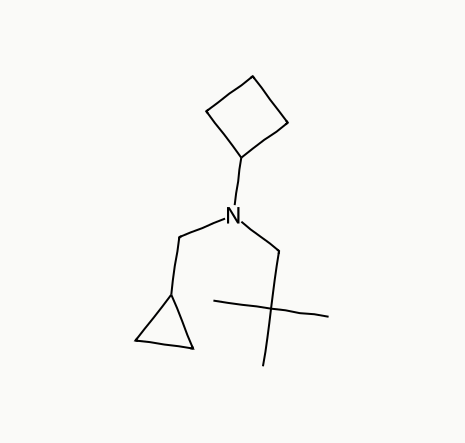 CC(C)(C)CN(CC1CC1)C1CCC1